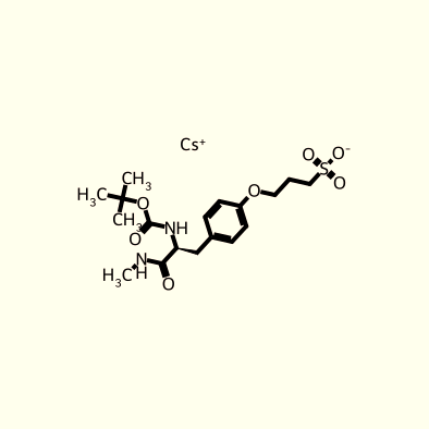 CNC(=O)[C@H](Cc1ccc(OCCCS(=O)(=O)[O-])cc1)NC(=O)OC(C)(C)C.[Cs+]